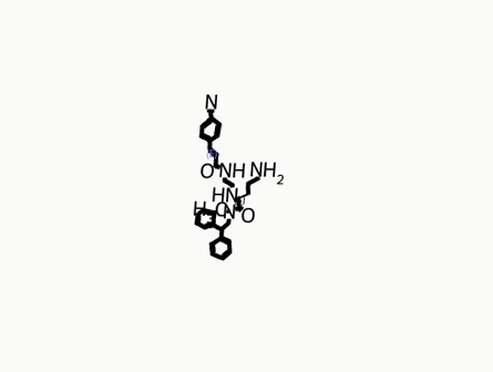 CN(CC(c1ccccc1)c1ccccc1)C(=O)[C@H](CCCN)NCCNC(=O)/C=C/c1ccc(C#N)cc1